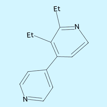 CCc1nccc(-c2ccncc2)c1CC